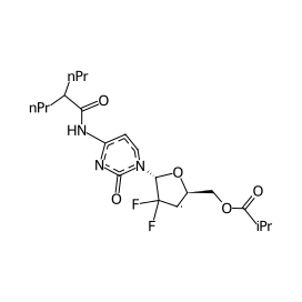 CCCC(CCC)C(=O)Nc1ccn([C@@H]2O[C@@H](COC(=O)C(C)C)[CH]C2(F)F)c(=O)n1